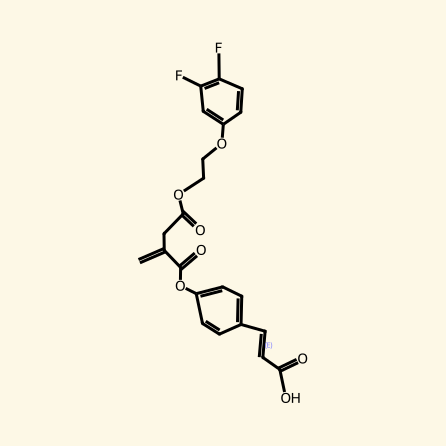 C=C(CC(=O)OCCOc1ccc(F)c(F)c1)C(=O)Oc1ccc(/C=C/C(=O)O)cc1